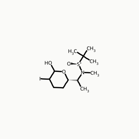 CC([C@@H]1CCC(I)C(O)O1)N(C)[S@@+]([O-])C(C)(C)C